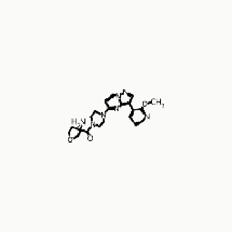 COc1ncccc1-c1cnn2ccc(N3CCN(C(=O)C4(N)CCOC4)CC3)nc12